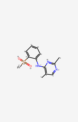 Cc1ncc(C)c(Nc2ccccc2S(=O)(=O)C(C)C)n1